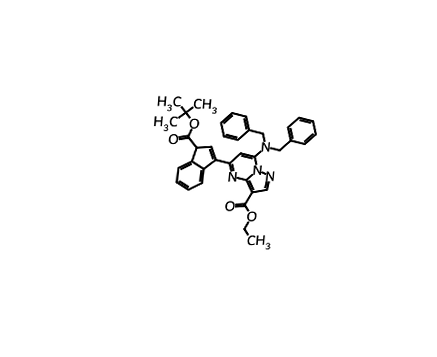 CCOC(=O)c1cnn2c(N(Cc3ccccc3)Cc3ccccc3)cc(C3=CC(C(=O)OC(C)(C)C)c4ccccc43)nc12